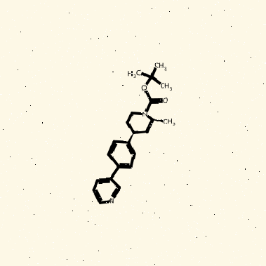 C[C@H]1C[C@@H](c2ccc(-c3cccnc3)cc2)CCN1C(=O)OC(C)(C)C